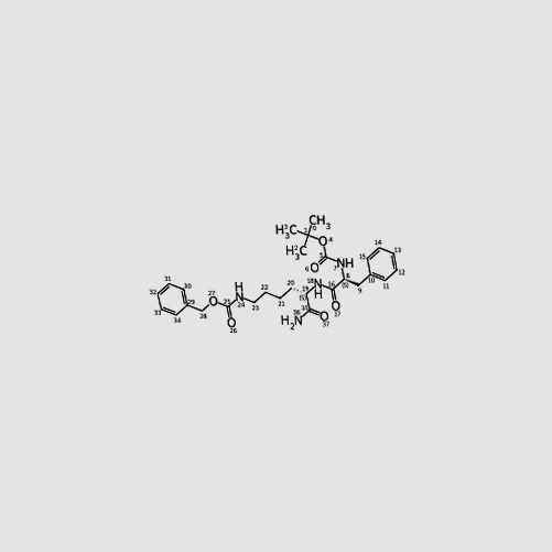 CC(C)(C)OC(=O)N[C@@H](Cc1ccccc1)C(=O)N[C@@H](CCCCNC(=O)OCc1ccccc1)C(N)=O